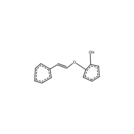 Oc1ccccc1OC=Cc1ccccc1